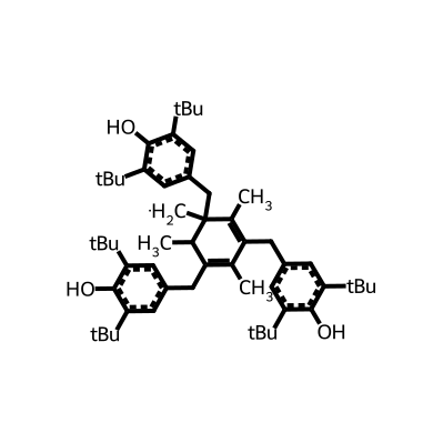 [CH2]C1(Cc2cc(C(C)(C)C)c(O)c(C(C)(C)C)c2)C(C)=C(Cc2cc(C(C)(C)C)c(O)c(C(C)(C)C)c2)C(C)=C(Cc2cc(C(C)(C)C)c(O)c(C(C)(C)C)c2)C1C